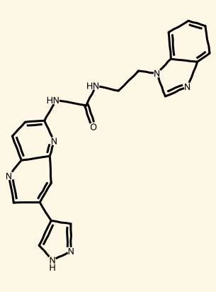 O=C(NCCn1cnc2ccccc21)Nc1ccc2ncc(-c3cn[nH]c3)cc2n1